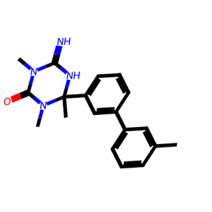 Cc1cccc(-c2cccc(C3(C)NC(=N)N(C)C(=O)N3C)c2)c1